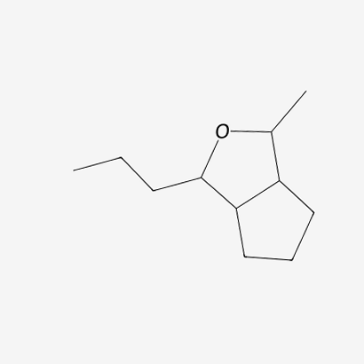 CCCC1OC(C)C2CCCC12